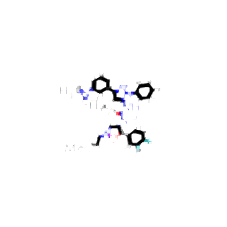 COCCN1C[C@@H](NC(=O)Nc2c(C)c(-c3cccc(N(C)C)c3)nn2-c2ccccc2)[C@H](c2ccc(F)c(F)c2)O1